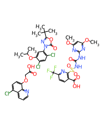 CC(C)Oc1cc(-n2nc(C(C)(C)C)oc2=O)c(Cl)cc1Cl.COc1cc(OC)nc(NC(=O)NS(=O)(=O)c2nc(C(F)(F)F)ccc2C(=O)O)n1.O=C(O)COc1ccc(Cl)c2cccnc12